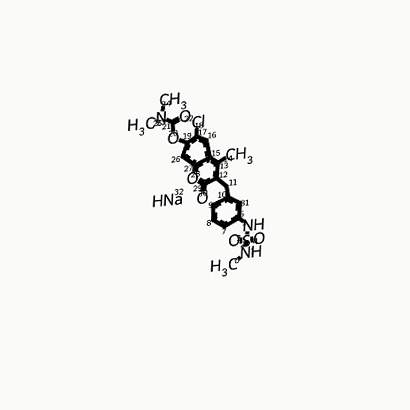 CNS(=O)(=O)Nc1cccc(Cc2c(C)c3cc(Cl)c(OC(=O)N(C)C)cc3oc2=O)c1.[NaH]